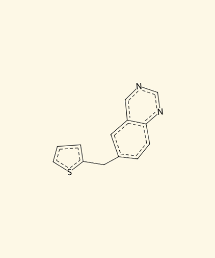 c1csc(Cc2ccc3ncncc3c2)c1